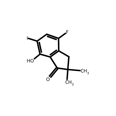 CC1(C)Cc2c(F)cc(I)c(O)c2C1=O